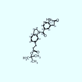 CC(C)(C)OC(=O)CCc1ccc2c(c1)N(C(=O)c1cnc3c(c1)CC(=O)N3)CC2